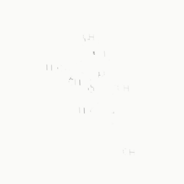 C#CCC/C=C(\C)C(C#C)OC(=O)C1C(C=C(C)C)C1(C)C